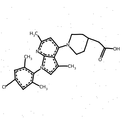 Cc1cc(N2CCC(CC(=O)O)CC2)c2c(C)cn(-c3c(C)cc(Cl)cc3C)c2n1